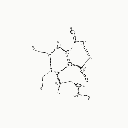 CCOC(C)OOC(=O)/C=C\C(=O)OOC(C)OCC